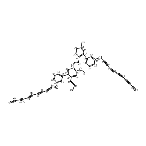 C#CC#CC#CC#CC#COc1cccc(-c2cc(C)ccc2/C=C/c2cc(-c3cccc(OC#CC#CC#CC#CC#C)c3)c(/C=C/C)cc2OC)c1